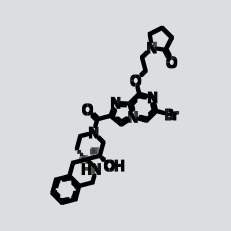 O=C1CCCN1CCOc1nc(Br)cn2cc(C(=O)N3CC[C@]4(Cc5ccccc5CN4)[C@H](O)C3)nc12